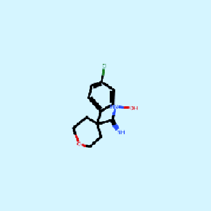 N=C(NO)C1(c2ccc(Cl)cc2)CCOCC1